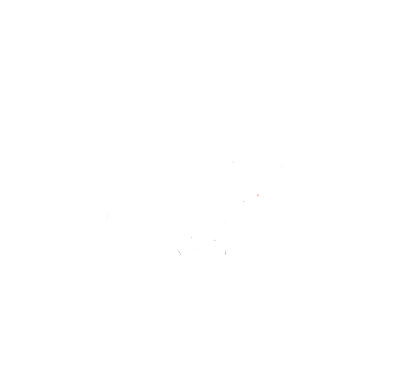 C[C@H](C(O)CC(OC1OC(COC2OC(CO)C(O)C(O)C2O)C(O)C(O)C1O)C(C)(C)O)[C@H]1CC[C@@]2(C)[C@@H]3CC=C4C(CCC(OC5OC(CO)C(O)C(O)C5O)C4(C)C)[C@]3(C)C(O)C[C@]12C